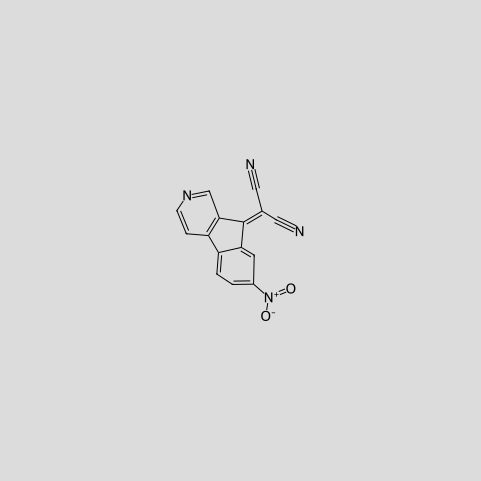 N#CC(C#N)=C1c2cnccc2-c2ccc([N+](=O)[O-])cc21